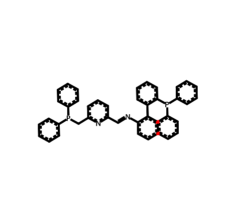 C(=N\c1ccccc1-c1ccccc1P(c1ccccc1)c1ccccc1)/c1cccc(CP(c2ccccc2)c2ccccc2)n1